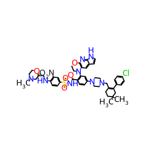 CN1CCO[C@@H](CNc2ccc(S(=O)(=O)NC(=O)c3ccc(N4CCN(CC5=C(c6ccc(Cl)cc6)CC(C)(C)CC5)CC4)cc3N3CCOc4nc5[nH]ccc5cc43)cc2[N+](=O)[O-])C1